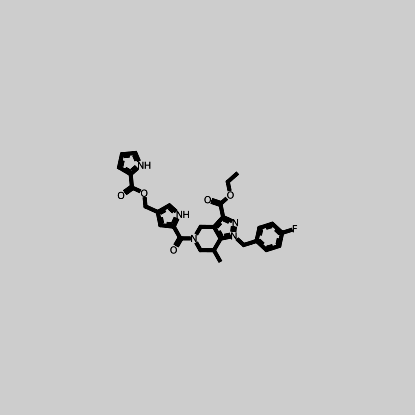 CCOC(=O)c1nn(Cc2ccc(F)cc2)c2c1CN(C(=O)c1cc(COC(=O)c3ccc[nH]3)c[nH]1)CC2C